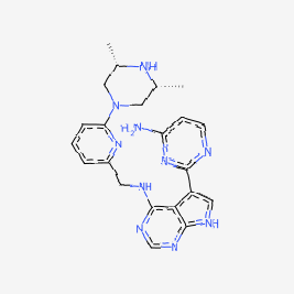 C[C@@H]1CN(c2cccc(CNc3ncnc4[nH]cc(-c5nccc(N)n5)c34)n2)C[C@H](C)N1